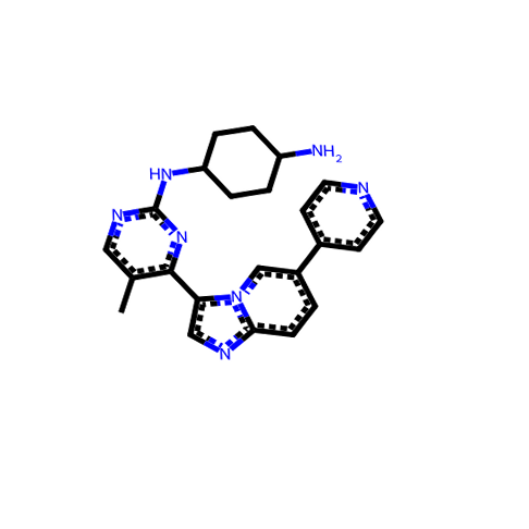 Cc1cnc(NC2CCC(N)CC2)nc1-c1cnc2ccc(-c3ccncc3)cn12